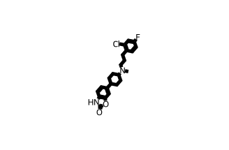 CN(CCCc1ccc(F)cc1Cl)C1CCC(c2ccc3[nH]c(=O)oc3c2)CC1